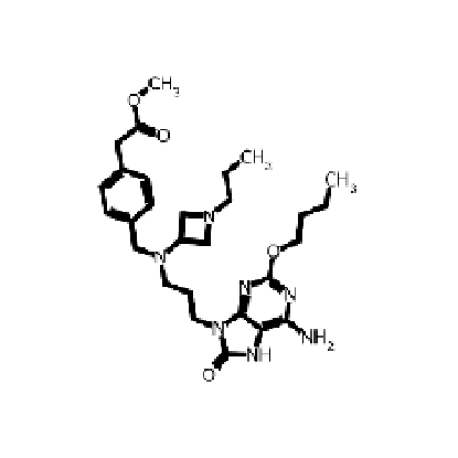 CCCCOc1nc(N)c2[nH]c(=O)n(CCCN(Cc3ccc(CC(=O)OC)cc3)C3CN(CCC)C3)c2n1